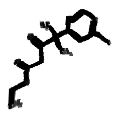 CCOC(=O)CC(=O)C(C)(C)c1ccnc(F)c1